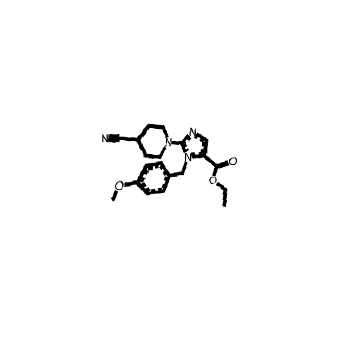 CCOC(=O)c1cnc(N2CCC(C#N)CC2)n1Cc1ccc(OC)cc1